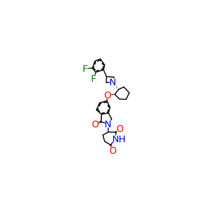 O=C1CCC(N2Cc3cc(O[C@@H]4CCCC[C@H]4N4CC(c5cccc(F)c5F)C4)ccc3C2=O)C(=O)N1